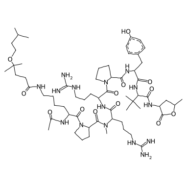 CC(=O)NC(CCCCNC(=O)CCC(C)(C)OCCC(C)C)C(=O)N1CCCC1C(=O)N(C)C(CCCNC(=N)N)C(=O)NC(CCCNC(=N)N)C(=O)N1CCCC1C(=O)NC(Cc1ccc(O)cc1)C(=O)NC(C(=O)NC1CC(C)OC1=O)C(C)(C)C